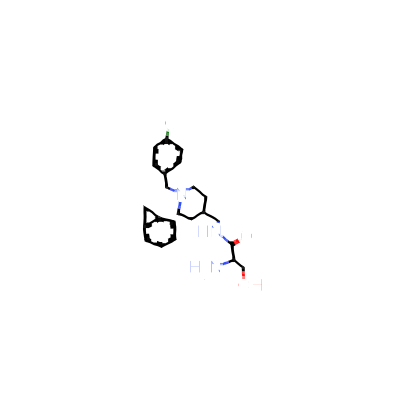 NC(CO)C(=O)NCC1CCN(Cc2ccc(Cl)cc2)CC1.c1ccc2c(c1)C2